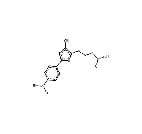 CCN(CC)c1ccc(-c2nc(C)c(CCON(O)O)s2)cc1